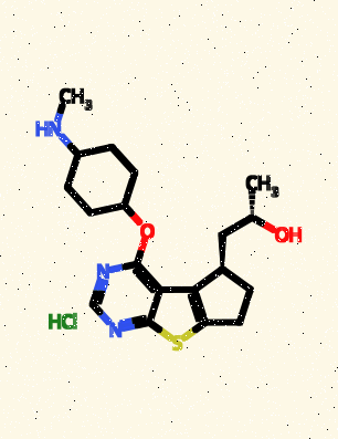 CNC1CCC(Oc2ncnc3sc4c(c23)[C@@H](C[C@H](C)O)CC4)CC1.Cl